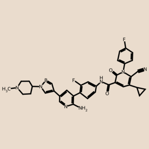 CN1CCC(n2bcc(-c3cnc(N)c(-c4ccc(NC(=O)c5cc(C6CC6)c(C#N)n(-c6ccc(F)cc6)c5=O)cc4F)c3)c2)CC1